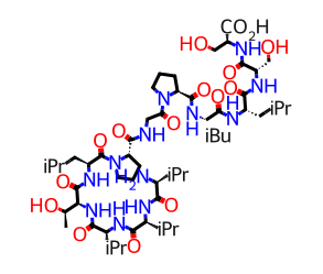 CC[C@H](C)[C@H](NC(=O)[C@@H]1CCCN1C(=O)CNC(=O)[C@@H]1CCCN1C(=O)[C@H](CC(C)C)NC(=O)[C@@H](NC(=O)[C@@H](NC(=O)[C@@H](NC(=O)[C@@H](N)C(C)C)C(C)C)C(C)C)[C@@H](C)O)C(=O)N[C@@H](CC(C)C)C(=O)N[C@@H](CO)C(=O)N[C@@H](CO)C(=O)O